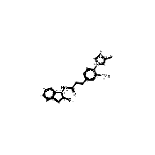 COc1cc(C=CC(=O)N[C@@H]2c3ccccc3CC2F)ccc1-n1cnc(C)c1